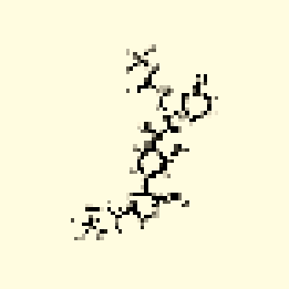 CC(C)(C)OC(=O)NC[C@@H](NC(=O)c1ccc(-c2nc(C3CCC(F)(F)CC3)cnc2N)cc1F)c1cccc(Cl)c1